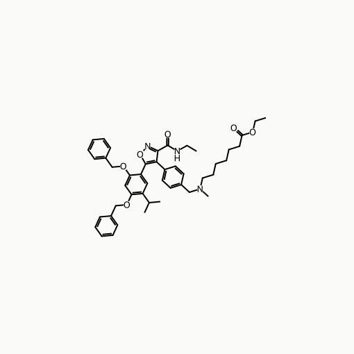 CCNC(=O)c1noc(-c2cc(C(C)C)c(OCc3ccccc3)cc2OCc2ccccc2)c1-c1ccc(CN(C)CCCCCCC(=O)OCC)cc1